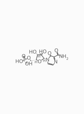 NC(=O)c1nccn([C@@H]2O[C@H](COP(=O)(O)O)[C@H](O)[C@H]2O)c1=O